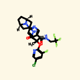 CC(C)(Oc1ncc(Cl)cc1F)C(=O)N[C@H]1C[C@H]2CC[C@@H](C1)N2c1ccc(C(=O)NCC(F)(F)F)cn1